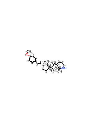 COc1ccc(/C=C/[C@H]2CC[C@H]3[C@@H]4CC[C@H]5NCC=C[C@]5(C)[C@H]4CC[C@]23C)cc1